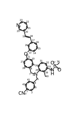 [C-]#[N+]c1ccc(CN(Cc2ccc(Oc3cccc(/C=C/c4cccnc4)c3)cc2)c2cccc(NS(C)(=O)=O)c2C)cc1